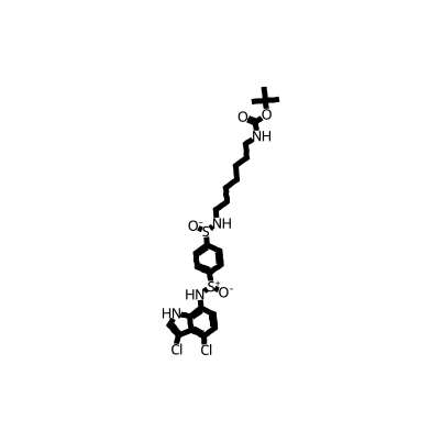 CC(C)(C)OC(=O)NCCCCCCCN[S+]([O-])c1ccc([S+]([O-])Nc2ccc(Cl)c3c(Cl)c[nH]c23)cc1